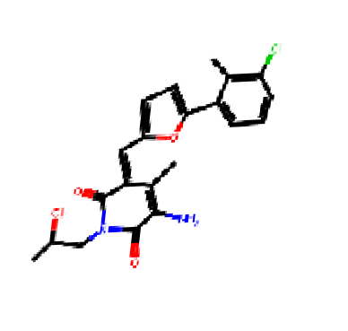 CC1=C(N)C(=O)N(CC(C)O)C(=O)/C1=C/c1ccc(-c2cccc(Cl)c2C)o1